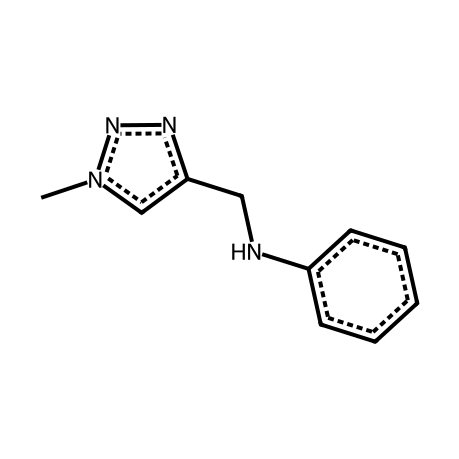 Cn1cc(CNc2ccccc2)nn1